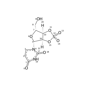 O=c1ccn([C@@H]2O[C@H](CO)[C@H]3OS(=O)(=O)O[C@H]32)c(=O)[nH]1